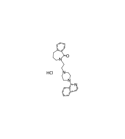 Cl.O=C1c2ccccc2CCCN1CCN1CCN(c2nccc3ccccc23)CC1